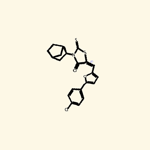 O=C1/C(=C\c2ccc(-c3ccc(Cl)cc3)o2)SC(=S)N1C1CC2CCC1C2